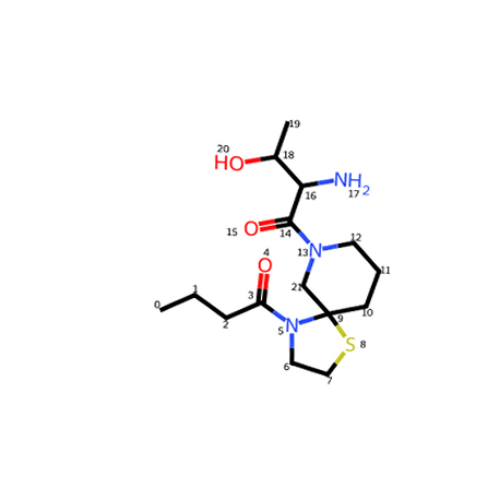 CCCC(=O)N1CCSC12CCCN(C(=O)C(N)C(C)O)C2